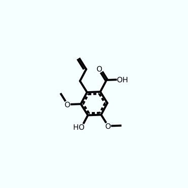 C=CCc1c(C(=O)O)cc(OC)c(O)c1OC